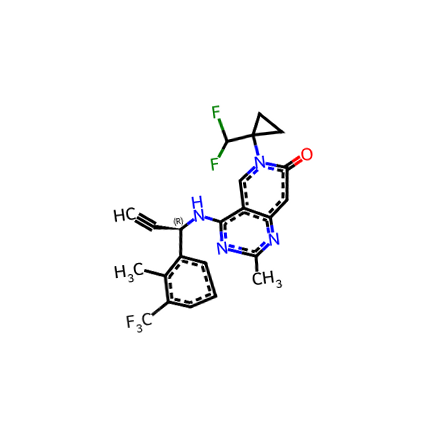 C#C[C@@H](Nc1nc(C)nc2cc(=O)n(C3(C(F)F)CC3)cc12)c1cccc(C(F)(F)F)c1C